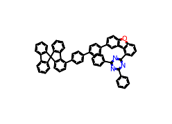 c1ccc(-c2nc(-c3ccccc3)nc(-c3cccc4oc5ccc(-c6ccc(-c7ccc(-c8cccc9c8-c8ccccc8C98c9ccccc9-c9ccccc98)cc7)cc6)cc5c34)n2)cc1